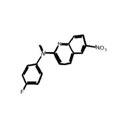 CN(c1ccc(F)cc1)c1ccc2cc([N+](=O)[O-])ccc2n1